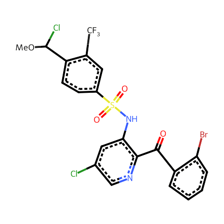 COC(Cl)c1ccc(S(=O)(=O)Nc2cc(Cl)cnc2C(=O)c2ccccc2Br)cc1C(F)(F)F